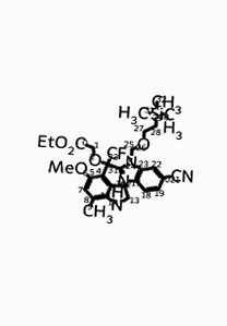 CCOC(=O)COC(c1c(OC)cc(C)c2c1CCN2)(c1nc2ccc(C#N)cc2n1COCC[Si](C)(C)C)C(F)(F)F